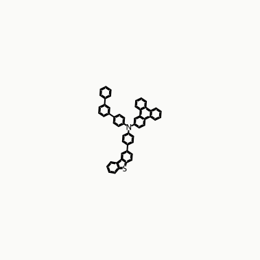 c1ccc(-c2cccc(-c3ccc(N(c4ccc(-c5ccc6sc7ccccc7c6c5)cc4)c4ccc5c6ccccc6c6ccccc6c5c4)cc3)c2)cc1